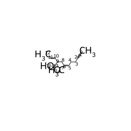 CC#CCCC=C(C)CC(C=CC)C(=O)O